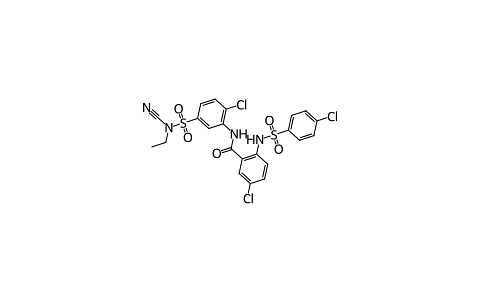 CCN(C#N)S(=O)(=O)c1ccc(Cl)c(NC(=O)c2cc(Cl)ccc2NS(=O)(=O)c2ccc(Cl)cc2)c1